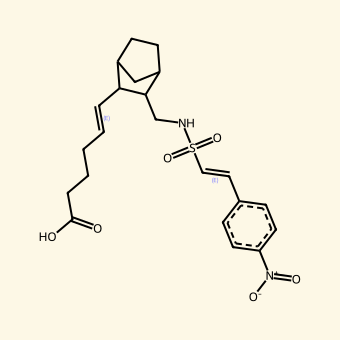 O=C(O)CCC/C=C/C1C2CCC(C2)C1CNS(=O)(=O)/C=C/c1ccc([N+](=O)[O-])cc1